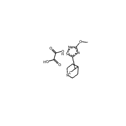 COc1nsc(C2CN3CCC2CC3)n1.O=C(O)C(=O)O